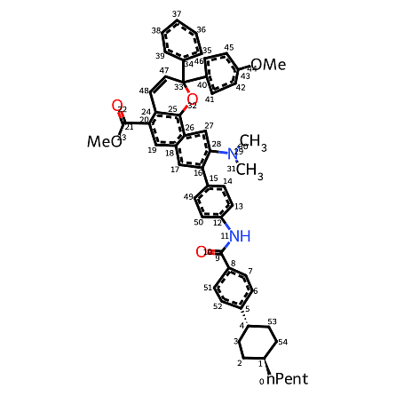 CCCCC[C@H]1CC[C@H](c2ccc(C(=O)Nc3ccc(-c4cc5cc(C(=O)OC)c6c(c5cc4N(C)C)OC(c4ccccc4)(c4ccc(OC)cc4)C=C6)cc3)cc2)CC1